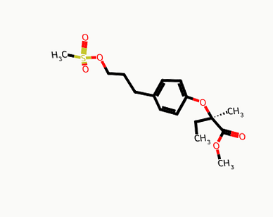 CC[C@@](C)(Oc1ccc(CCCOS(C)(=O)=O)cc1)C(=O)OC